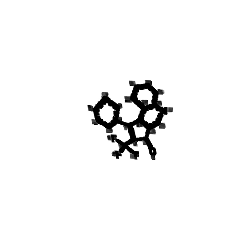 O=C1C(C(F)(F)F)=C(c2ccccc2)c2c1cnc1ccccc21